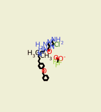 C[N+](C)(CCCc1ccc(OCc2ccccc2)cc1)CCNC(=O)c1nc(Cl)c(N)nc1N.O=C([O-])C(F)(F)F